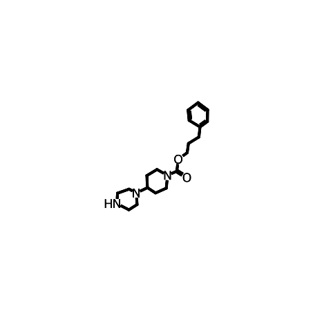 O=C(OCCCc1ccccc1)N1CCC(N2CCNCC2)CC1